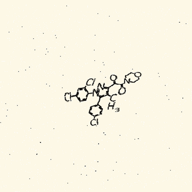 Cc1c(C(=O)C(=O)N2CCOCC2)nn(-c2ccc(Cl)cc2Cl)c1-c1ccc(Cl)cc1